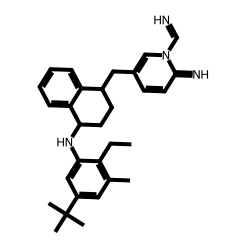 CCc1c(C)cc(C(C)(C)C)cc1NC1CCC(Cc2ccc(=N)n(C=N)c2)c2ccccc21